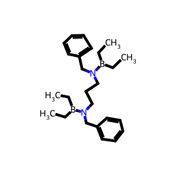 CCB(CC)N(CCCN(Cc1ccccc1)B(CC)CC)Cc1ccccc1